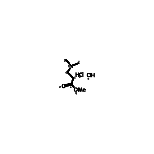 COC(=O)CCN(C)C.Cl.Cl